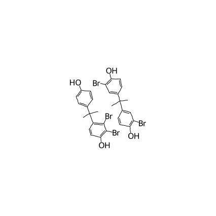 CC(C)(c1ccc(O)c(Br)c1)c1ccc(O)c(Br)c1.CC(C)(c1ccc(O)cc1)c1ccc(O)c(Br)c1Br